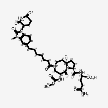 Cn1c(=O)n(C2CCC(=O)NC2=O)c2ccc(CCCCCCC(=O)N3CC[C@H]4CC[C@@H](C(=O)NC(CCC(N)=O)C(=O)O)N4C(=O)[C@@H](NC(=O)OC(C)(C)C)C3)cc21